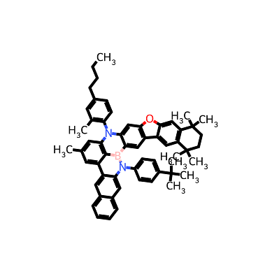 CCCCc1ccc(N2c3cc4oc5cc6c(cc5c4cc3B3c4c(cc(C)cc42)-c2cc4ccccc4cc2N3c2ccc(C(C)(C)C)cc2)C(C)(C)CCC6(C)C)c(C)c1